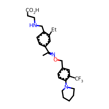 CCc1cc(C(C)=NOCc2ccc(N3CCCCC3)c(C(F)(F)F)c2)ccc1CNCCC(=O)O